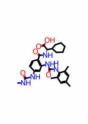 CNC(=O)Nc1ccc(C(=O)N[C@H](C(=O)O)C2CCCCC2)c(NC(=O)Nc2c(C)cc(C)cc2C)c1